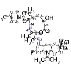 C/C(=C\c1cc(F)cc(N(C(C)C)C2CCN(S(C)(=O)=O)CC2)c1)[C@H]1OC(=O)C[C@@H](O)CC[C@@H](C)[C@H](OC(=O)N2CCN(C)CC2)/C=C/[C@@H]1C